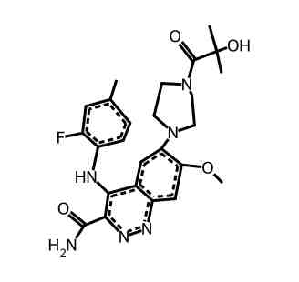 COc1cc2nnc(C(N)=O)c(Nc3ccc(C)cc3F)c2cc1N1CCN(C(=O)C(C)(C)O)CC1